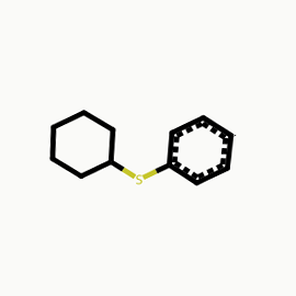 [c]1ccc(SC2CCCCC2)cc1